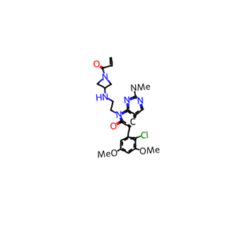 C=CC(=O)N1CC(NCCn2c(=O)c(-c3cc(OC)cc(OC)c3Cl)cc3cnc(NC)nc32)C1